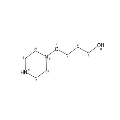 OCCCON1CCNCC1